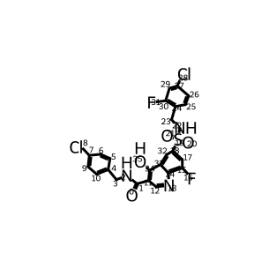 O=C(NCc1ccc(Cl)cc1)c1cnc2c(F)cc(S(=O)(=O)NCc3ccc(Cl)cc3F)cc2c1O